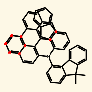 CC1(C)c2ccccc2-c2c(N(c3ccc4ccccc4c3-c3cccc4cccc(C5CCCCC5)c34)c3cccc4c3sc3ccccc34)cccc21